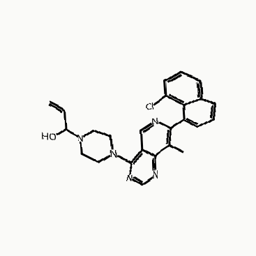 C=CC(O)N1CCN(c2ncnc3c(C)c(-c4cccc5cccc(Cl)c45)ncc23)CC1